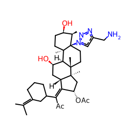 CC(=O)O[C@H]1C[C@@]2(C)[C@@H](C[C@@H](O)[C@@H]3[C@]2(C)CC[C@@]2(n4cc(CN)nn4)[C@H](C)[C@H](O)CC[C@]32C)/C1=C(/C(C)=O)C1CCCC(=C(C)C)C1